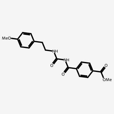 COC(=O)c1ccc(C(=O)NC(=O)NCCc2ccc(OC)cc2)cc1